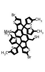 CSc1cc2c3c(c(CS)cc2c2c1-c1sc(Br)cc1C2(c1ccc(C)s1)c1ccc(C)s1)-c1sc(Br)cc1C3(c1ccc(C)s1)c1ccc(C)s1